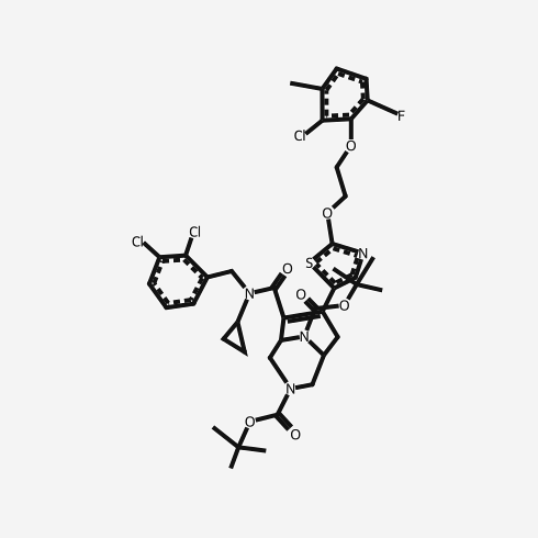 Cc1ccc(F)c(OCCOc2ncc(C3=C(C(=O)N(Cc4cccc(Cl)c4Cl)C4CC4)C4CN(C(=O)OC(C)(C)C)CC(C3)N4C(=O)OC(C)(C)C)s2)c1Cl